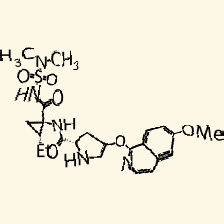 CC[C@@H]1C[C@]1(NC(=O)[C@@H]1CC(Oc2nccc3cc(OC)ccc23)CN1)C(=O)NS(=O)(=O)N(C)C